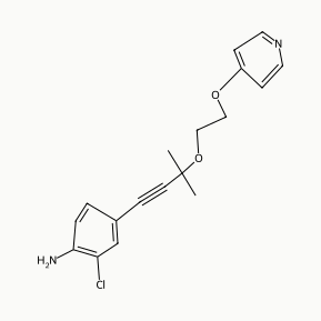 CC(C)(C#Cc1ccc(N)c(Cl)c1)OCCOc1ccncc1